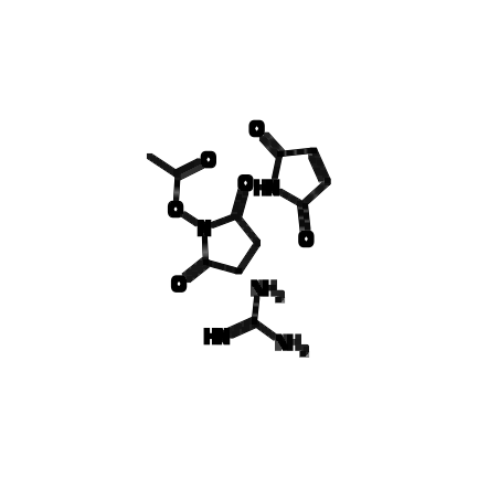 CC(=O)ON1C(=O)CCC1=O.N=C(N)N.O=C1C=CC(=O)N1